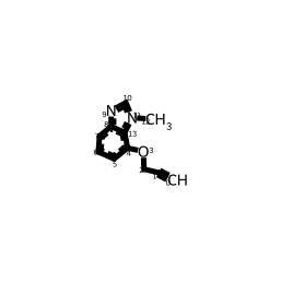 C#CCOc1cccc2ncn(C)c12